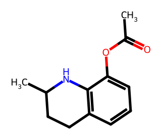 CC(=O)Oc1cccc2c1NC(C)CC2